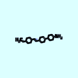 C=CC1CCC(/C=C/C2CCC(C3CCC(N)CC3)CC2)CC1